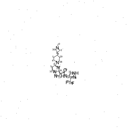 CN1CC(C2CCN(c3ccn4ncc(C(=O)Nc5c[nH]nc5C(F)F)c4n3)CC2)C1